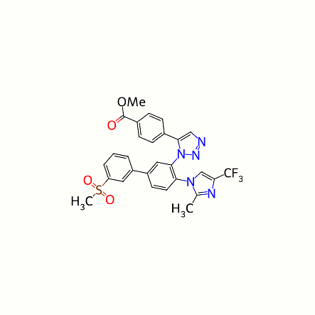 COC(=O)c1ccc(-c2cnnn2-c2cc(-c3cccc(S(C)(=O)=O)c3)ccc2-n2cc(C(F)(F)F)nc2C)cc1